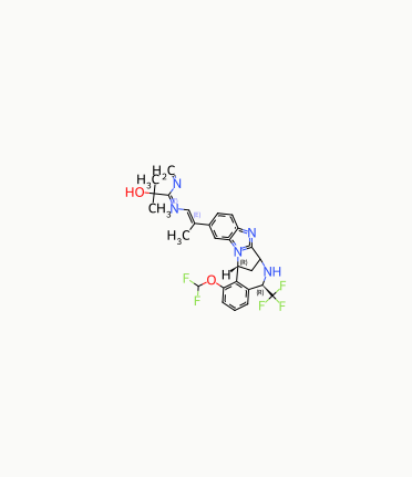 C=N/C(=N\C=C(/C)c1ccc2nc3n(c2c1)[C@@H]1CC3N[C@@H](C(F)(F)F)c2cccc(OC(F)F)c21)C(C)(C)O